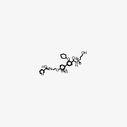 Cl.Cl.O=C(NS(=O)(=O)CCCO)c1ccc(-c2ccc(OCCNC[C@H](O)c3cccnc3)cc2)cc1OC1CCCCC1